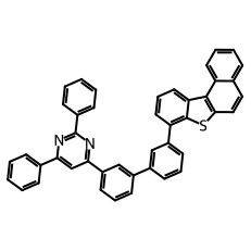 c1ccc(-c2cc(-c3cccc(-c4cccc(-c5cccc6c5sc5ccc7ccccc7c56)c4)c3)nc(-c3ccccc3)n2)cc1